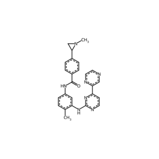 Cc1ccc(NC(=O)c2ccc(C3CN3C)cc2)cc1Nc1nccc(-c2cnccn2)n1